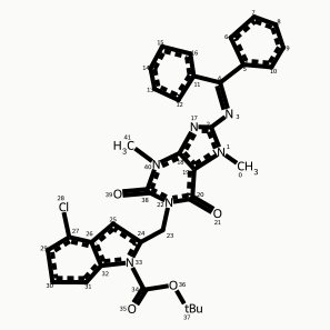 Cn1c(N=C(c2ccccc2)c2ccccc2)nc2c1c(=O)n(Cc1cc3c(Cl)cccc3n1C(=O)OC(C)(C)C)c(=O)n2C